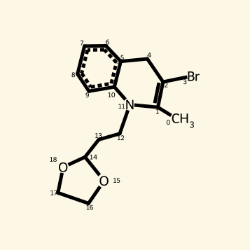 CC1=C(Br)Cc2ccccc2N1CCC1OCCO1